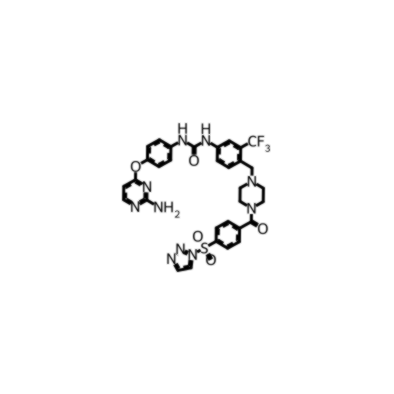 Nc1nccc(Oc2ccc(NC(=O)Nc3ccc(CN4CCN(C(=O)c5ccc(S(=O)(=O)n6ccnn6)cc5)CC4)c(C(F)(F)F)c3)cc2)n1